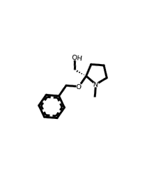 CN1CCC[C@]1(CO)OCc1ccccc1